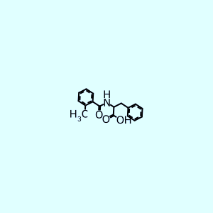 Cc1ccccc1C(=O)NC(Cc1ccccc1)C(=O)O